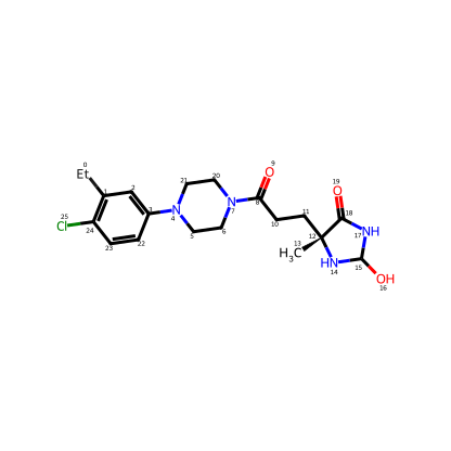 CCc1cc(N2CCN(C(=O)CC[C@@]3(C)NC(O)NC3=O)CC2)ccc1Cl